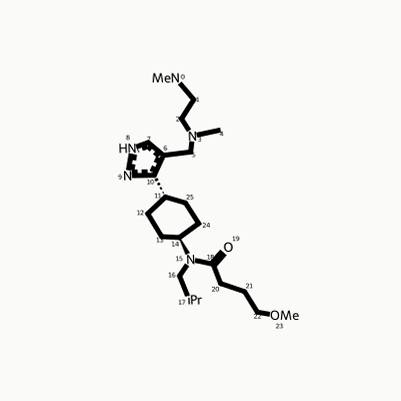 CNCCN(C)Cc1c[nH]nc1[C@H]1CC[C@H](N(CC(C)C)C(=O)CCCOC)CC1